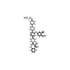 O=C(O)CN1CCN(C2CCN(C(=O)[C@@H](Cc3ccc(O)c(Br)c3)OC(=O)N3CCC(N4CCc5ccccc5NC4=O)CC3)CC2)CC1